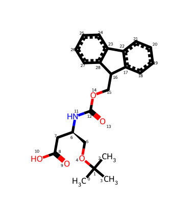 CC(C)(C)OC[C@@H](CC(=O)O)NC(=O)OCC1c2ccccc2-c2ccccc21